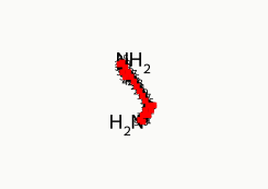 Cc1cc(Cc2ccc(N)cc2)ccc1CCCCCCCCCCCc1ccc(Cc2ccc(N)cc2)cc1C